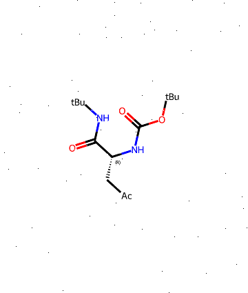 CC(=O)C[C@@H](NC(=O)OC(C)(C)C)C(=O)NC(C)(C)C